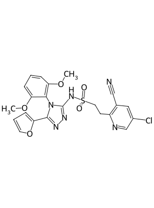 COc1cccc(OC)c1-n1c(NS(=O)(=O)CCc2ncc(Cl)cc2C#N)nnc1-c1ccco1